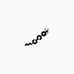 CCCCC[C@H]1CC[C@H]([C@H]2CC[C@H](c3ccc(C(F)(F)F)cc3)CC2)CC1